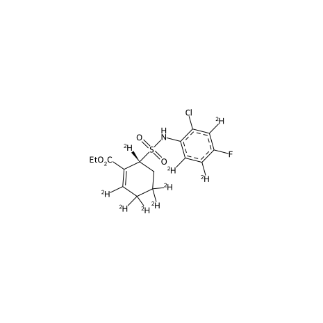 [2H]C1=C(C(=O)OCC)[C@]([2H])(S(=O)(=O)Nc2c([2H])c([2H])c(F)c([2H])c2Cl)CC([2H])([2H])C1([2H])[2H]